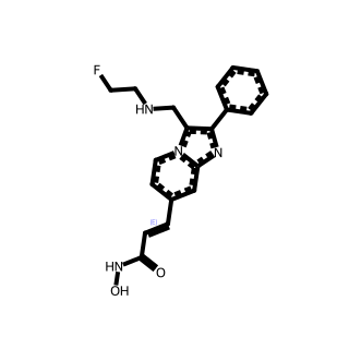 O=C(/C=C/c1ccn2c(CNCCF)c(-c3ccccc3)nc2c1)NO